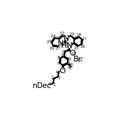 CCCCCCCCCCCCCCOc1ccc(CC(=O)Nc2ccccc2Cn2cc3cccc[n+]3c2)cc1F.[Br-]